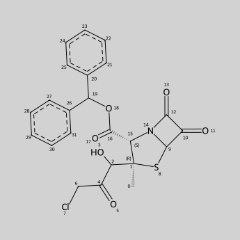 C[C@@]1(C(O)C(=O)CCl)SC2C(=O)C(=O)N2[C@H]1C(=O)OC(c1ccccc1)c1ccccc1